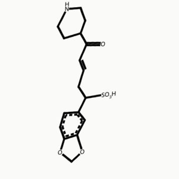 O=C(C=CCC(c1ccc2c(c1)OCO2)S(=O)(=O)O)C1CCNCC1